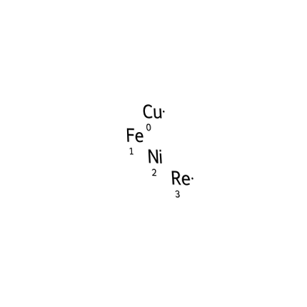 [Cu].[Fe].[Ni].[Re]